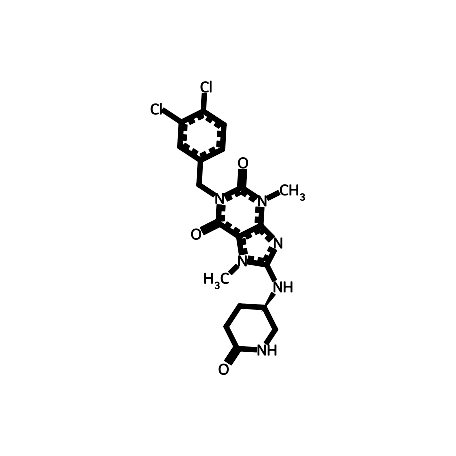 Cn1c(N[C@@H]2CCC(=O)NC2)nc2c1c(=O)n(Cc1ccc(Cl)c(Cl)c1)c(=O)n2C